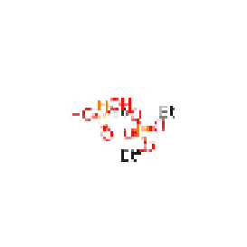 CCOP(=O)(OCC)OCC.O=[PH](O)O